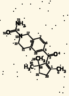 CC1=C(C(=O)c2ccc3c(c2)CCN(C(N)=O)C3)C(C)(C)CC1